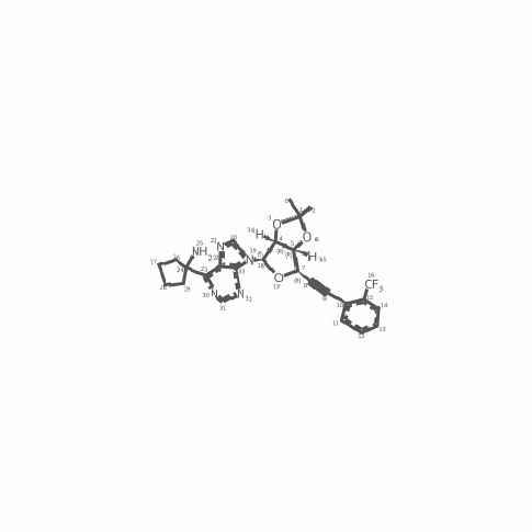 CC1(C)O[C@@H]2[C@H](O1)[C@@H](C#Cc1ccccc1C(F)(F)F)O[C@H]2n1cnc2c(C3(N)CCCC3)ncnc21